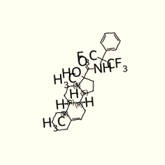 C[C@]12CCCCC1=CC[C@@H]1[C@H]2CC[C@@]2(C)[C@H]1CCC2(O)C(=O)NC(c1ccccc1)(C(F)(F)F)C(F)(F)F